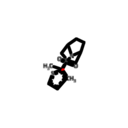 CC(C)N1CC2CCC(C1)N2S(=O)(=O)c1cccs1